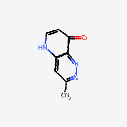 Cc1cc2[nH]ccc(=O)c2nn1